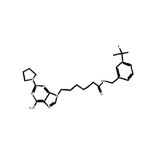 CC(C)(F)c1cccc(CNC(=O)CCCCCn2cnc3c(N)nc(N4CCCC4)nc32)c1